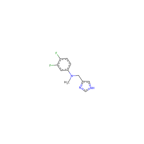 CN(Cc1c[nH]cn1)c1ccc(F)c(F)c1